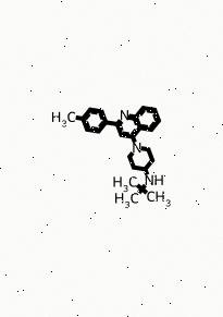 Cc1ccc(-c2cc(N3CCC(NC(C)(C)C)CC3)c3ccccc3n2)cc1